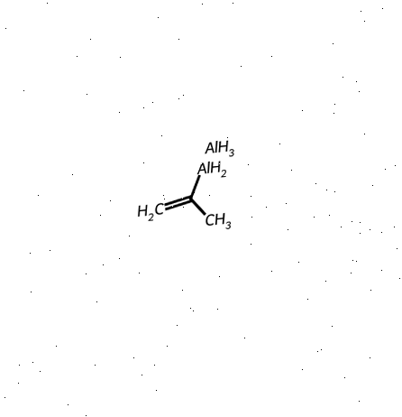 C=[C](C)[AlH2].[AlH3]